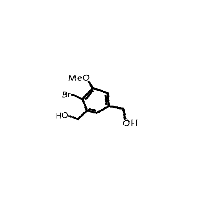 COc1cc(CO)cc(CO)c1Br